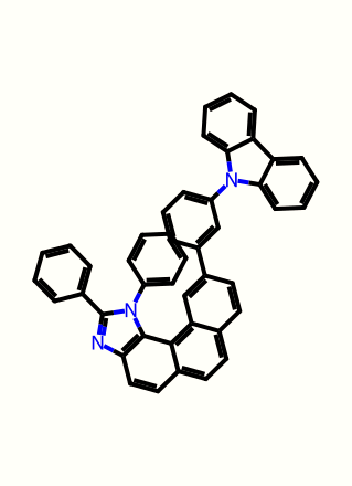 c1ccc(-c2nc3ccc4ccc5ccc(-c6cccc(-n7c8ccccc8c8ccccc87)c6)cc5c4c3n2-c2ccccc2)cc1